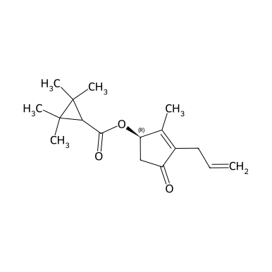 C=CCC1=C(C)[C@H](OC(=O)C2C(C)(C)C2(C)C)CC1=O